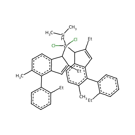 CCC1=Cc2c(ccc(C)c2-c2ccccc2CC)[CH]1[Zr]([Cl])([Cl])([CH]1C(CC)=Cc2c1ccc(C)c2-c1ccccc1CC)[SiH](C)C